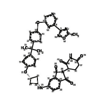 Cc1nc(-c2cncc(Oc3ccc(C(C)(C)c4ccc(O[C@H]5C[C@@H](Nc6ccc7c(c6)C(=O)N(C6CCC(=O)NC6=O)C7=O)C5)cc4)cc3)n2)no1